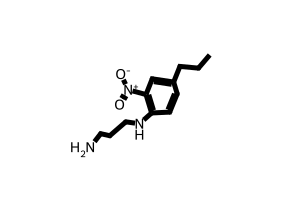 CCCc1ccc(NCCCN)c([N+](=O)[O-])c1